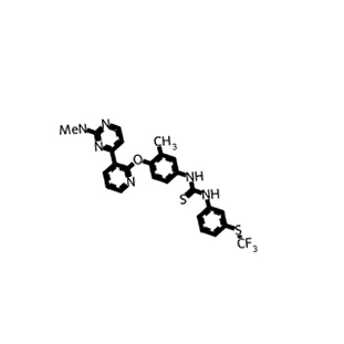 CNc1nccc(-c2cccnc2Oc2ccc(NC(=S)Nc3cccc(SC(F)(F)F)c3)cc2C)n1